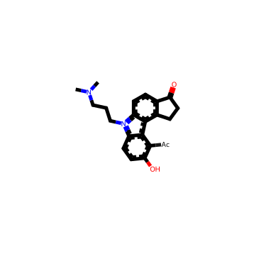 CC(=O)c1c(O)ccc2c1c1c3c(ccc1n2CCCN(C)C)C(=O)CC3